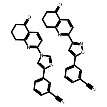 N#Cc1cccc(-c2cc(-c3ccc4c(n3)CCCC4=O)no2)c1.N#Cc1cccc(-c2cn(-c3ccc4c(n3)CCCC4=O)cn2)c1